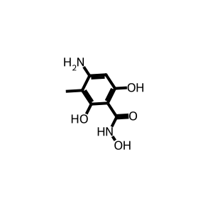 Cc1c(N)cc(O)c(C(=O)NO)c1O